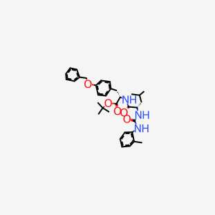 Cc1ccccc1NC(=O)N[C@@H](CC(C)C)C(=O)N[C@@H](Cc1ccc(OCc2ccccc2)cc1)C(=O)OC(C)(C)C